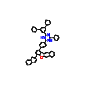 c1ccc(C2=NC(c3cc(-c4ccccc4)cc(-c4ccccc4)c3)NC(c3ccc(-c4ccc(-c5ccc6ccccc6c5)c5oc6cc7ccccc7cc6c45)cc3)N2)cc1